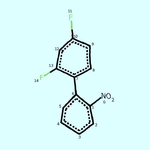 O=[N+]([O-])c1ccccc1-c1ccc(F)[c]c1F